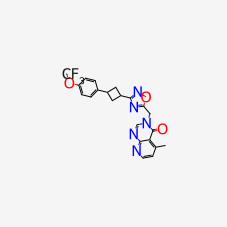 Cc1ccnc2ncn(Cc3nc(C4CC(c5ccc(OC(F)(F)F)cc5)C4)no3)c(=O)c12